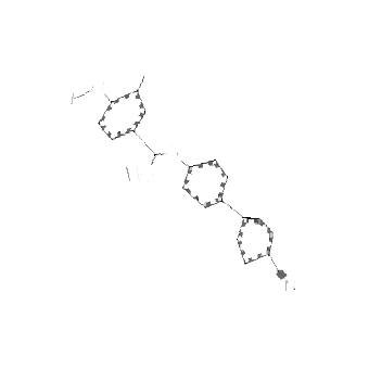 Cc1cc(C(O)Oc2ccc(-c3ccc(C#N)cc3)cc2)ccc1OI